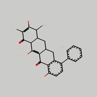 CC(=O)C1=C(O)C(C(C)C)[C@@]2(C)C[C@]3(C)C(=C(O)[C@@]2(O)C1=O)C(=O)c1c(O)ccc(-c2ccccc2)c1[C@H]3O